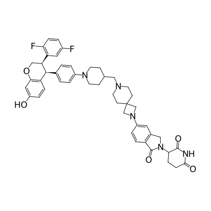 O=C1CCC(N2Cc3cc(N4CC5(CCN(CC6CCN(c7ccc([C@H]8c9ccc(O)cc9OC[C@H]8c8cc(F)ccc8F)cc7)CC6)CC5)C4)ccc3C2=O)C(=O)N1